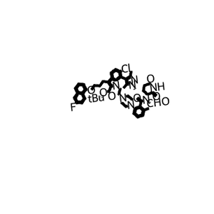 Cc1cccc(N2CCN(CCn3c(C(=O)OC(C)(C)C)c(CCCOc4cccc5cc(F)ccc45)c4ccc(Cl)c(-c5c(C)nn(C)c5C)c43)CC2)c1C(=O)N(C=O)C1CCC(=O)NC1=O